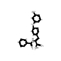 O=C(O)C(=Cc1ccc(Oc2cccc(Cl)c2)cc1)NC(=O)c1ccccc1